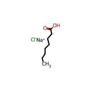 CCCCCC[CH]C(=O)O.[Cl-].[Na+]